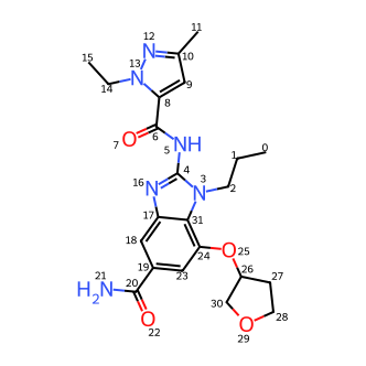 CCCn1c(NC(=O)c2cc(C)nn2CC)nc2cc(C(N)=O)cc(OC3CCOC3)c21